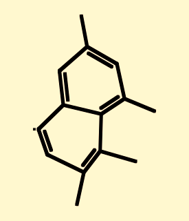 Cc1cc(C)c2c(C)c(C)c[c]c2c1